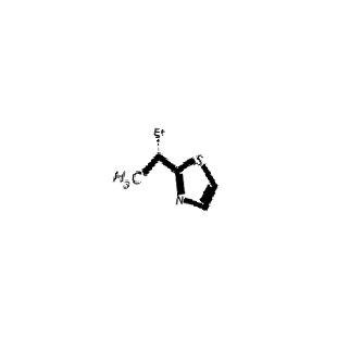 CC[C@@H](C)c1nccs1